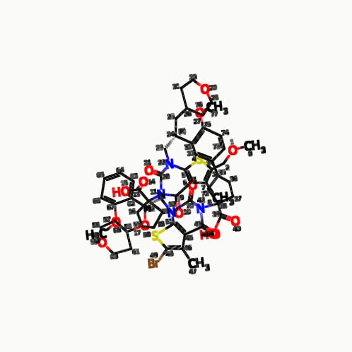 COCc1sc2c(c1C)c(=O)n(C1(C(=O)O)CCCC1)c(=O)n2C[C@H](CC1CCOCC1)c1cc(C2CCC(C(=O)O)(n3c(=O)c4c(C)c(Br)sc4n(C[C@H](OC4CCOCC4)c4ccccc4OC)c3=O)C2)ccc1OC